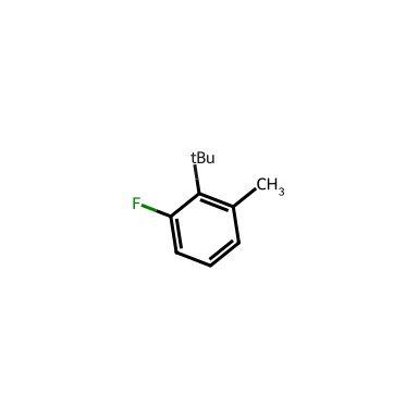 Cc1cccc(F)c1C(C)(C)C